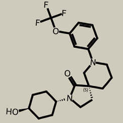 O=C1N([C@H]2CC[C@H](O)CC2)CC[C@]12CCCN(c1cccc(OC(F)(F)F)c1)C2